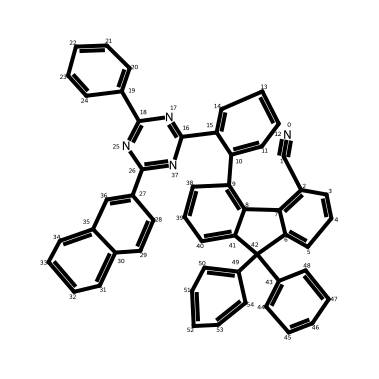 N#Cc1cccc2c1-c1c(-c3ccccc3-c3nc(-c4ccccc4)nc(-c4ccc5ccccc5c4)n3)cccc1C2(c1ccccc1)c1ccccc1